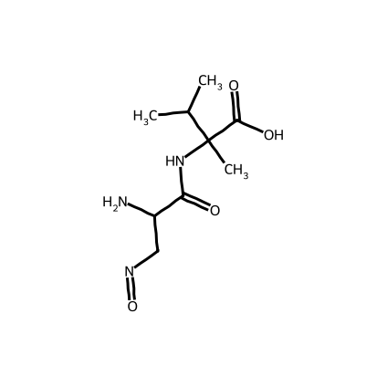 CC(C)C(C)(NC(=O)C(N)CN=O)C(=O)O